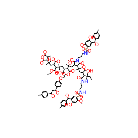 CCOC(=O)C(C(CC(C)(C)C1C(=O)OC(=O)C1C)C(=O)O)C(C)(C)CC(C(=O)O)C(C(=O)OCCOc1ccc(C(=O)CC(=O)c2ccc(C)cc2)cc1)C(C)(CC1C(=O)N(CCCNS(=O)(=O)c2cc(C(=O)c3ccc(C)cc3)c(O)cc2OC)C(=O)C1C(C)(C)CC(C(=O)O)C(C(=O)NCCCNS(=O)(=O)c1cc(C(=O)c2ccc(C)cc2)c(O)cc1OC)C(C)(C)CC)OC